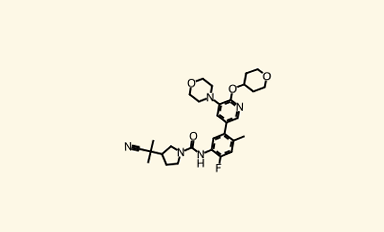 Cc1cc(F)c(NC(=O)N2CCC(C(C)(C)C#N)C2)cc1-c1cnc(OC2CCOCC2)c(N2CCOCC2)c1